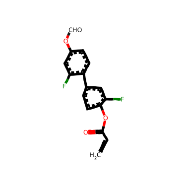 C=CC(=O)Oc1ccc(-c2ccc(OC=O)cc2F)cc1F